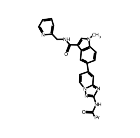 CC(C)C(=O)Nc1nc2cc(-c3ccc4c(c3)c(C(=O)NCc3ccccn3)cn4C)ccn2n1